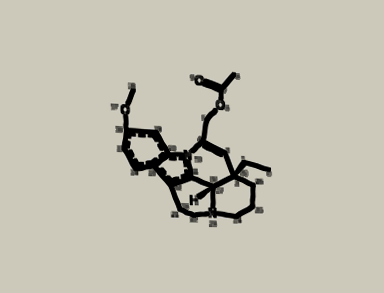 CC[C@@]12C=C(COC(C)=O)n3c4c(c5ccc(OC)cc53)CCN(CCC1)[C@H]42